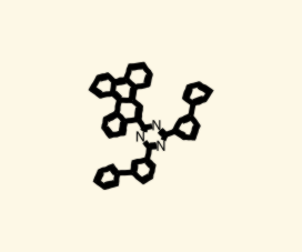 c1ccc(-c2cccc(-c3nc(-c4cccc(-c5ccccc5)c4)nc(-c4cc5c6ccccc6c6ccccc6c5c5ccccc45)n3)c2)cc1